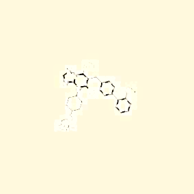 CCCc1c(Cc2ccc(-c3ccccc3C#N)cc2)c(=O)n(C2CCC(OCSC)CC2)c2ncnn12